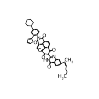 CCC/C=C(/C)c1ccc2c(=O)[nH]c(C3C(=O)c4ccc5c6c(ccc(c46)C3=O)C(=O)N(c3ccc(C4CCCCC4)cc3C3=CC=CC3)C5=O)nc2c1